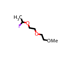 COCCOCCOC(C)I